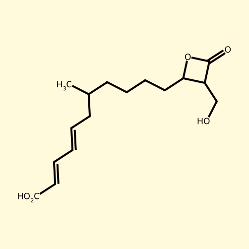 CC(CC=CC=CC(=O)O)CCCCC1OC(=O)C1CO